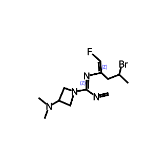 C=N/C(=N\C(=C/F)CC(C)Br)N1CC(N(C)C)C1